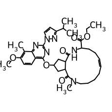 CCOC(=O)C1CCC=CCCCCN(C)C(=O)C2CC(Oc3nc(-n4ccc(C(C)C)n4)nc4c(C)c(OC)ccc34)CC2C(=O)N1